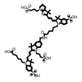 CC1(C)C(/C=C/C=C2/N(CCCCCC(=O)O)c3ccc(S(=O)(=O)O)cc3C2(C)C)=[N+](CCCS(=O)(=O)O)c2ccc(CNC(=O)CCCCCN3/C(=C/C=C/C4=Nc5c(ccc[n+]5CCCS(=O)(=O)O)C4(C)C)C(C)(C)c4cc(S(=O)(=O)O)ccc43)cc21